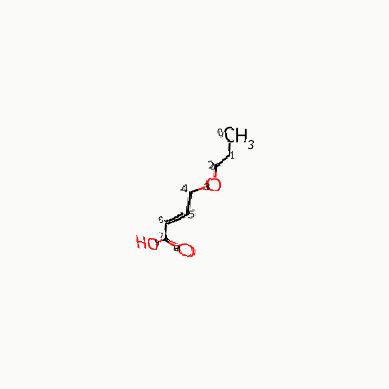 CCCOCC=CC(=O)O